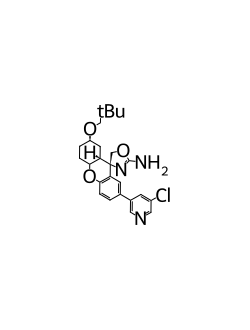 CC(C)(C)CO[C@@H]1CCC2Oc3ccc(-c4cncc(Cl)c4)cc3[C@]3(COC(N)=N3)[C@H]2C1